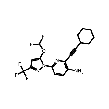 Nc1ccc(-n2nc(C(F)(F)F)cc2OC(F)F)nc1C#CC1CCCCC1